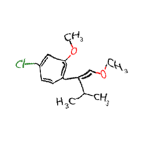 COC=C(c1ccc(Cl)cc1OC)C(C)C